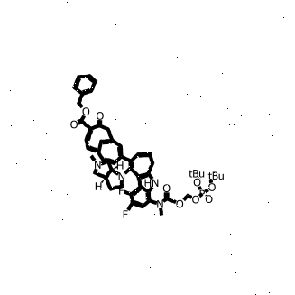 CN1C[C@@H]2CCN(C3=C(C4=CC5=C/C(=C\C=C(\C(=O)OCc6ccccc6)C(=O)C5)C=C4)C=CCc4[nH]c5c(N(C)C(=O)OCOP(=O)(OC(C)(C)C)OC(C)(C)C)cc(F)c(F)c5c43)[C@@H]2C1